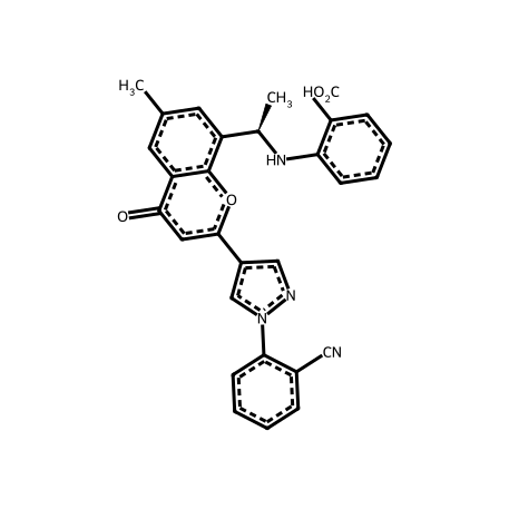 Cc1cc([C@@H](C)Nc2ccccc2C(=O)O)c2oc(-c3cnn(-c4ccccc4C#N)c3)cc(=O)c2c1